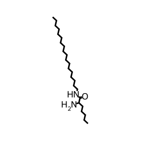 CCCCCCCCCCCCCCCCCCNC(=O)C(N)CCCCC